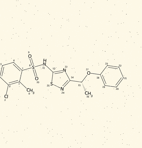 Cc1c(Cl)cccc1S(=O)(=O)Nc1nc([C@@H](C)Oc2ccccc2)ns1